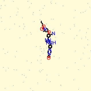 CCCCOC(=O)N1CCC(Oc2ccc(-c3ncnc(Nc4ccc(N5CCN(C6COC6)CC5)cc4)n3)cc2C#N)CC1C